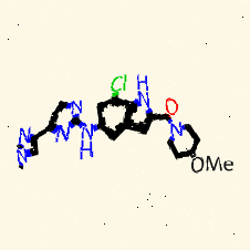 COC1CCN(C(=O)c2cc3cc(Nc4nccc(-c5cn(C)cn5)n4)cc(Cl)c3[nH]2)CC1